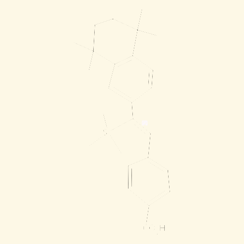 CC1(C)CCC(C)(C)c2cc(/C(=C/c3ccc(C(=O)O)cc3)[Si](C)(C)C)ccc21